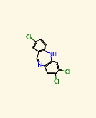 Clc1ccc2c(c1)C=Nc1cc(Cl)c(Cl)cc1N2